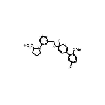 COc1ccc(F)cc1C1=CCC(F)(OCc2cccc(N3CCC[C@H]3C(=O)O)c2)C=C1